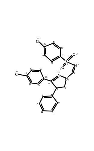 O=S(=O)(/N=C\N1CC(c2ccccc2)C(c2ccc(Cl)cc2)=N1)c1ccc(Cl)cc1